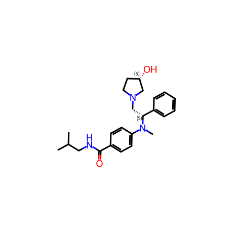 CC(C)CNC(=O)c1ccc(N(C)[C@H](CN2CC[C@H](O)C2)c2ccccc2)cc1